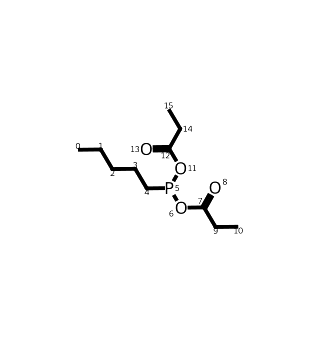 CCCCCP(OC(=O)CC)OC(=O)CC